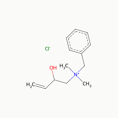 C=CC(O)C[N+](C)(C)Cc1ccccc1.[Cl-]